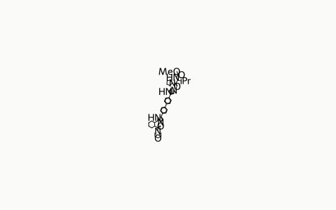 COC(=O)N[C@H](C(=O)N1CCC[C@H]1c1ncc(-c2ccc(-c3ccc(-c4cnc(C5CCCCC5C(=O)N5CCOCC5)[nH]4)cc3)cc2)[nH]1)C(C)C